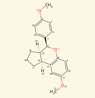 COc1ccc([C@H]2Oc3ccc(OC)cc3[C@H]3CCC[C@H]32)cc1